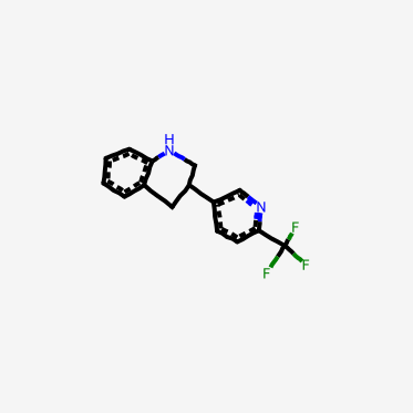 FC(F)(F)c1ccc(C2CNc3ccccc3C2)cn1